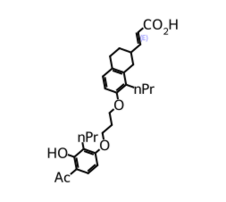 CCCc1c(OCCCOc2ccc3c(c2CCC)CC(/C=C/C(=O)O)CC3)ccc(C(C)=O)c1O